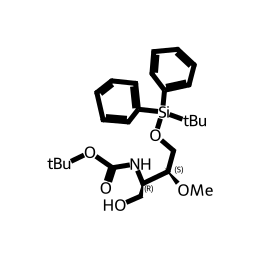 CO[C@H](CO[Si](c1ccccc1)(c1ccccc1)C(C)(C)C)[C@@H](CO)NC(=O)OC(C)(C)C